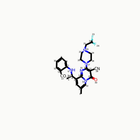 Cc1cc([C@@H](C)Nc2ccccc2C(=O)O)c2nc(N3CCN(CC(F)F)CC3)c(C#N)c(=O)n2c1